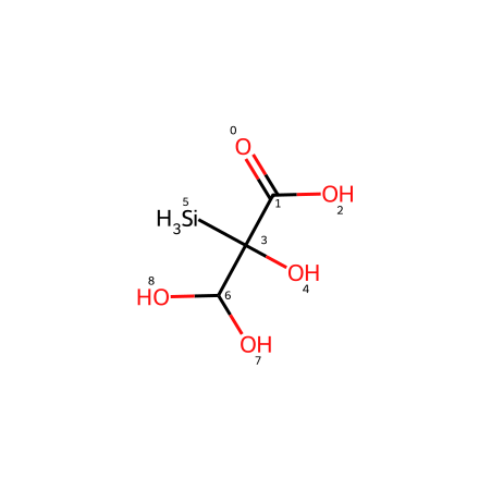 O=C(O)C(O)([SiH3])C(O)O